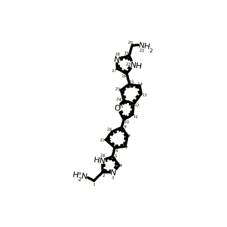 NCc1ncc(-c2ccc(-c3cc4ccc(-c5cnc(CN)[nH]5)cc4o3)cc2)[nH]1